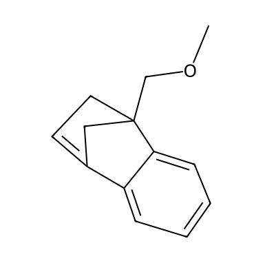 COCC12CC=C(C1)c1ccccc12